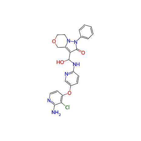 Nc1nccc(Oc2ccc(NC(O)c3c4n(n(-c5ccccc5)c3=O)CCOC4)nc2)c1Cl